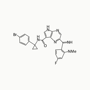 CNc1cc(F)ccc1C(=N)c1cnc2[nH]cc(C(=O)NC3(c4ccc(Br)cc4)CC3)c2n1